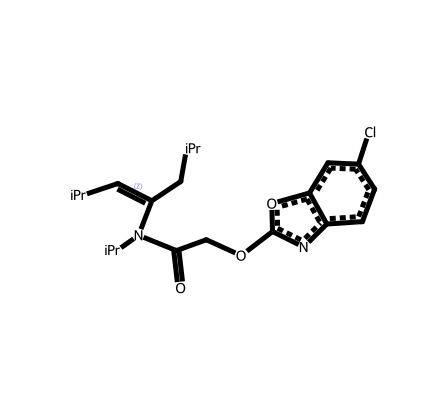 CC(C)/C=C(/CC(C)C)N(C(=O)COc1nc2ccc(Cl)cc2o1)C(C)C